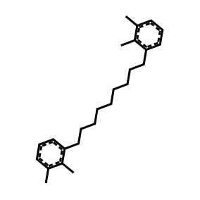 Cc1cccc(CCCCCCCCCc2cccc(C)c2C)c1C